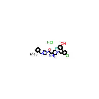 CSc1ccccc1CN1CCN(C(=O)[C@H](N)C2CCN(CCc3cc(Cl)ccc3-c3cc(O)cc(F)c3)CC2)CC1.Cl